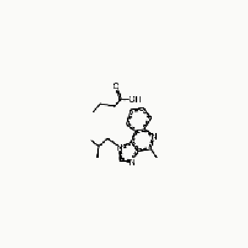 CCCC(=O)O.Cc1nc2ccccc2c2c1ncn2CC(C)C